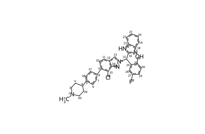 CN1CCC(c2ccc(-c3ccc4cn(C(c5nc6ccccc6[nH]5)c5cc(F)ccc5O)nc4c3Cl)cc2)CC1